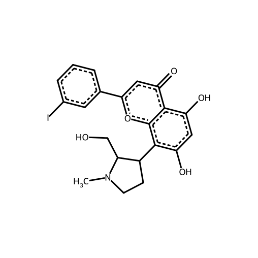 CN1CCC(c2c(O)cc(O)c3c(=O)cc(-c4cccc(I)c4)oc23)C1CO